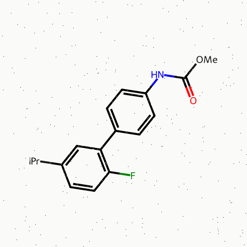 COC(=O)Nc1ccc(-c2cc(C(C)C)ccc2F)cc1